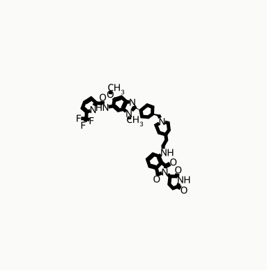 COc1cc2nc([C@H]3CC[C@H](CN4CCC(CCNc5cccc6c5C(=O)N(C5CCC(=O)NC5=O)C6=O)CC4)CC3)n(C)c2cc1NC(=O)c1cccc(C(F)(F)F)n1